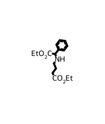 CCOC(=O)CCCNC(C(=O)OCC)c1ccccc1